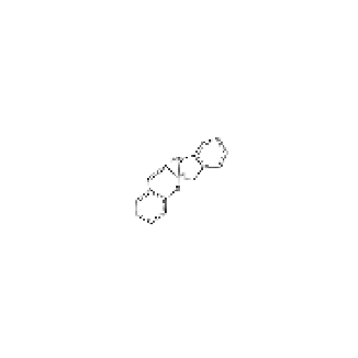 C1=C[C@]2(Cc3ccccc3N2)Sc2ccccc21